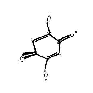 O=C1C=C(Cl)C(=O)C=C1Cl